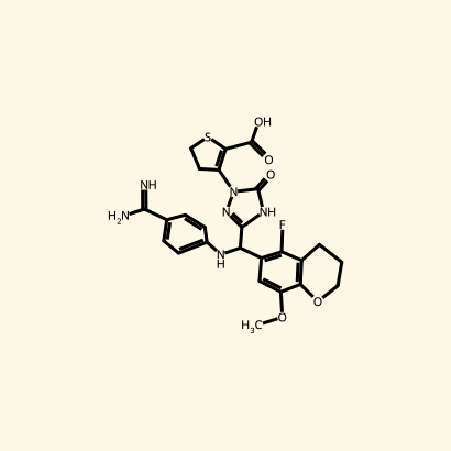 COc1cc(C(Nc2ccc(C(=N)N)cc2)c2nn(C3=C(C(=O)O)SCC3)c(=O)[nH]2)c(F)c2c1OCCC2